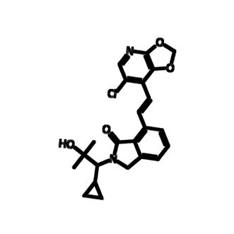 CC(C)(O)C(C1CC1)N1Cc2cccc(C=Cc3c(Cl)cnc4c3OCO4)c2C1=O